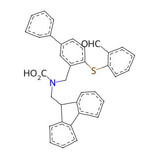 O=Cc1ccccc1Sc1ccc(-c2ccccc2)cc1CN(CC1c2ccccc2-c2ccccc21)C(=O)O